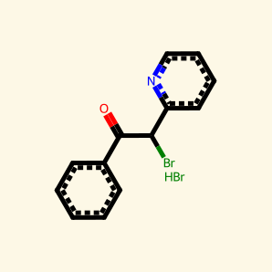 Br.O=C(c1ccccc1)C(Br)c1ccccn1